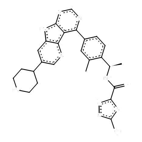 Cc1cc(-c2ncnc3[nH]c4cc(C5CCNCC5)cnc4c23)ccc1[C@@H](C)NC(=O)c1nc(C(C)(C)C)no1